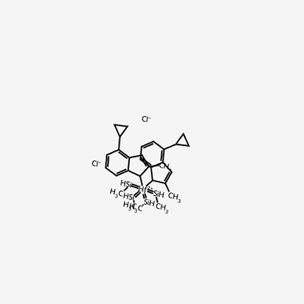 C[SiH]=[Hf+2](=[SiH]C)(=[SiH]C)(=[SiH]C)([CH]1C(C)=Cc2c(C3CC3)cccc21)[CH]1C(C)=Cc2c(C3CC3)cccc21.[Cl-].[Cl-]